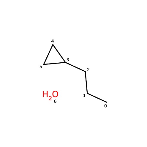 CCCC1CC1.O